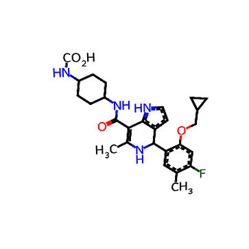 CC1=C(C(=O)NC2CCC(NC(=O)O)CC2)c2[nH]ccc2C(c2cc(C)c(F)cc2OCC2CC2)N1